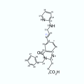 O=C(O)CCc1nc2ccc(/C=C/CNc3ccccn3)cc2c(=O)n1Cc1ccccc1